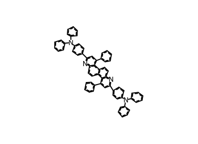 c1ccc(-c2cc(-c3ccc(N(c4ccccc4)c4ccccc4)cc3)nc3ccc4c(ccc5nc(-c6ccc(N(c7ccccc7)c7ccccc7)cc6)cc(-c6ccccc6)c54)c23)cc1